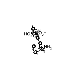 CC1CCN(Cc2ccccc2)CC1CN.CC1CCN(Cc2ccccc2)CC1CN.Cc1ccc(C(=O)C(O)(C(=O)O)C(O)(C(=O)O)C(=O)c2ccc(C)cc2)cc1